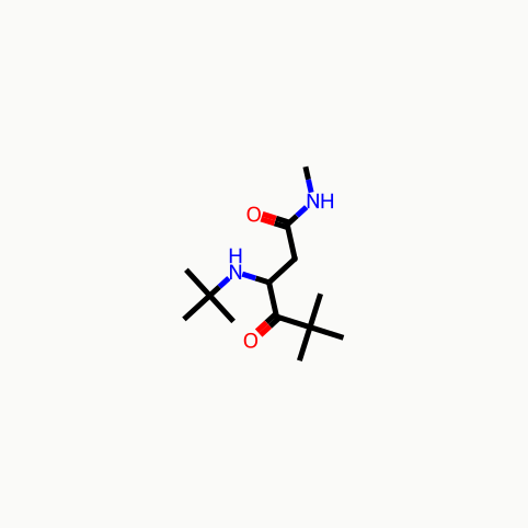 CNC(=O)CC(NC(C)(C)C)C(=O)C(C)(C)C